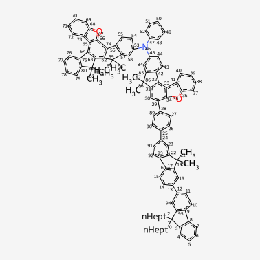 CCCCCCCC1(CCCCCCC)c2ccccc2-c2ccc(-c3ccc4c(c3)C(C)(C)c3cc(-c5ccc(-c6cc7c(c8c6oc6ccccc68)-c6ccc(N(c8ccccc8)c8ccc9c(c8)C(C)(C)c8c%10c(c%11c(oc%12ccccc%12%11)c8-9)-c8ccccc8C%10(C)C)cc6C7(C)C)cc5)ccc3-4)cc21